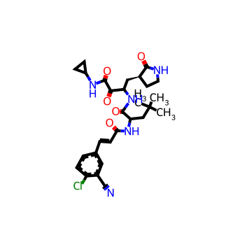 CC(C)(C)CC(NC(=O)/C=C/c1ccc(Cl)c(C#N)c1)C(=O)NC(C[C@@H]1CCNC1=O)C(=O)C(=O)NC1CC1